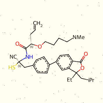 C=CC[C@H](OCCCCNC)C(=O)N[C@@](S)(C#N)Cc1ccc(-c2ccc3c(c2)C(CC)(CC(C)C)OC3=O)cc1